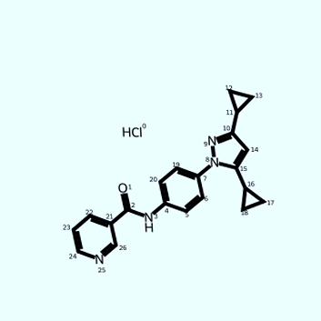 Cl.O=C(Nc1ccc(-n2nc(C3CC3)cc2C2CC2)cc1)c1cccnc1